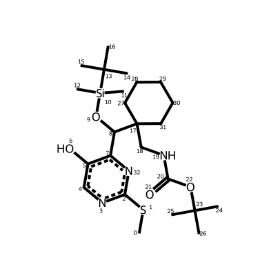 CSc1ncc(O)c(C(O[Si](C)(C)C(C)(C)C)C2(CNC(=O)OC(C)(C)C)CCCCC2)n1